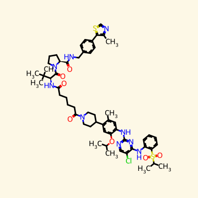 Cc1cc(Nc2ncc(Cl)c(Nc3ccccc3S(=O)(=O)C(C)C)n2)c(OC(C)C)cc1C1CCN(C(=O)CCCCC(=O)N[C@H](C(=O)N2CCC[C@H]2C(=O)NCc2ccc(-c3scnc3C)cc2)C(C)(C)C)CC1